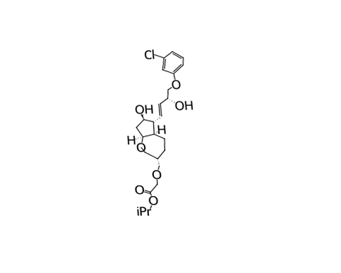 CC(C)OC(=O)COC[C@H]1CC[C@@H]2[C@@H](/C=C/[C@@H](O)COc3cccc(Cl)c3)[C@H](O)C[C@@H]2OC1